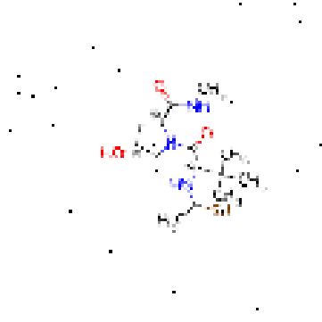 CNC(=O)[C@@H]1C[C@@H](O)CN1C(=O)[C@@H](NC(C)S)C(C)(C)C